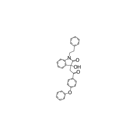 O=C(CC1(O)C(=O)N(CCc2ccccc2)c2ccccc21)c1ccc(Oc2ccccc2)cc1